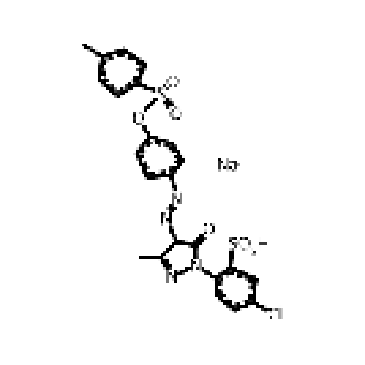 CC1=NN(c2ccc(Cl)cc2S(=O)(=O)O)C(=O)C1N=Nc1ccc(OS(=O)(=O)c2ccc(C)cc2)cc1.[Na]